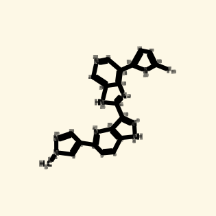 Cn1cc(-c2ccc3[nH]nc(-c4nc5c(-c6ccc(F)s6)cncc5[nH]4)c3n2)cn1